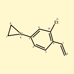 C=Cc1ccc(N2CC2)cc1CC